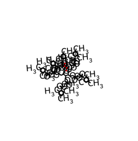 Cc1cc(C)c(C(=O)OOC(=O)OCCC(COC(=O)OOC(=O)c2c(C)cc(C)cc2C)C(COC(=O)OOC(=O)c2c(C)cc(C)cc2C)C(COC(=O)OOC(=O)c2c(C)cc(C)cc2C)C(CCOC(=O)OOC(=O)c2c(C)cc(C)cc2C)COC(=O)OOC(=O)c2c(C)cc(C)cc2C)c(C)c1